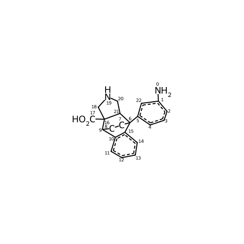 Nc1cccc(C23CCC(c4ccccc42)C2(C(=O)O)CNCC32)c1